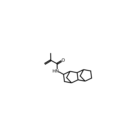 C=C(C)C(=O)NC1CC2CC1C1C3CCC(C3)C21